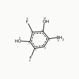 Bc1cc(F)c(O)c(F)c1O